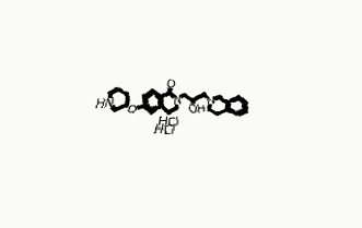 Cl.Cl.O=C1c2ccc(OC3CCCNC3)cc2CCN1CC(O)CN1CCc2ccccc2C1